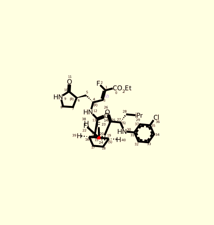 CCOC(=O)/C(F)=C/[C@@H](C[C@H]1CCNC1=O)NC(=O)[C@@H]1[C@@H]2CC[C@@H](CC2(F)F)N1C(=O)[C@H](CC(C)C)Nc1cccc(Cl)c1